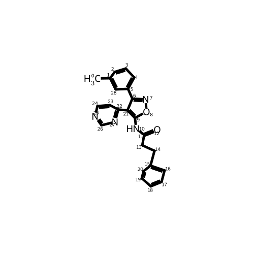 Cc1cccc(-c2noc(NC(=O)CCc3ccccc3)c2-c2ccncn2)c1